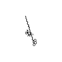 C=CC(=O)[O-].CCCCCCCCC=CCCCCCCCCCC(=O)CC(=O)[O-].[Al+2]